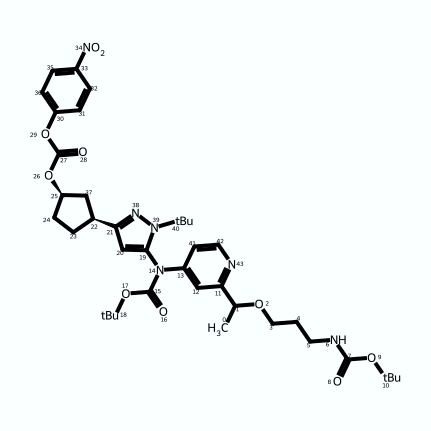 CC(OCCCNC(=O)OC(C)(C)C)c1cc(N(C(=O)OC(C)(C)C)c2cc([C@H]3CC[C@@H](OC(=O)Oc4ccc([N+](=O)[O-])cc4)C3)nn2C(C)(C)C)ccn1